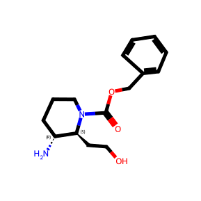 N[C@@H]1CCCN(C(=O)OCc2ccccc2)[C@H]1CCO